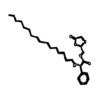 CCCCCCCCCCCCCCCCO[C@H](C(=O)OC[C@H]1OC(=O)CS1)c1ccccc1